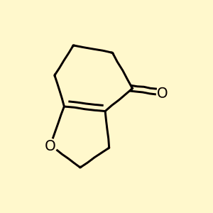 O=C1CCCC2=C1CCO2